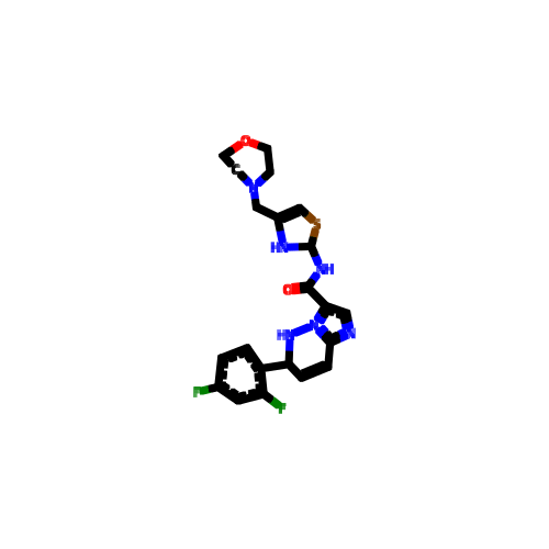 O=C(NC1NC(CN2CCOCC2)=CS1)c1cnc2n1NC(c1ccc(F)cc1F)C=C2